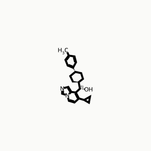 Cc1ccc([C@H]2CC[C@H]([C@H](O)c3c(C4CC4)ccn4cncc34)CC2)cc1